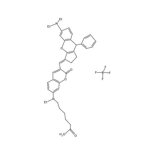 CCN(CC)c1ccc2c(c1)OC1=C(CCC1=Cc1cc3ccc(N(CC)CCCCCC(=O)[OH2+])cc3oc1=O)C2c1ccccc1.F[B-](F)(F)F